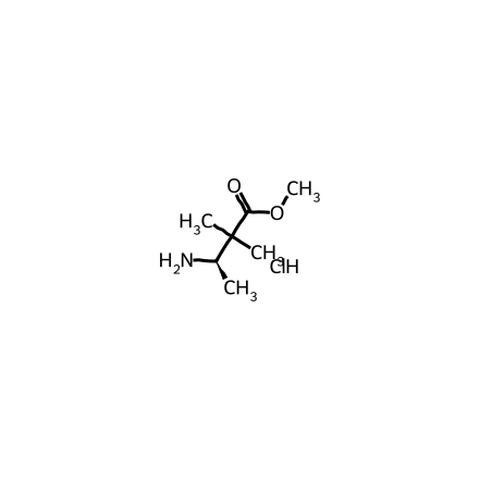 COC(=O)C(C)(C)[C@@H](C)N.Cl